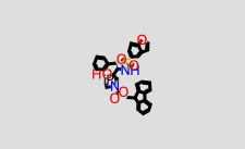 CC(C)CN(C[C@@H](O)[C@H](Cc1ccccc1)NS(=O)(=O)c1ccc2occc2c1)C(=O)OCC1c2ccccc2-c2ccccc21